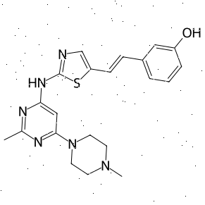 Cc1nc(Nc2ncc(/C=C/c3cccc(O)c3)s2)cc(N2CCN(C)CC2)n1